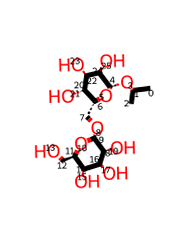 CC(C)O[C@@H]1O[C@H](CO[C@@H]2O[C@H](CO)[C@@H](O)[C@H](O)[C@H]2O)[C@H](O)[C@H](O)[C@H]1O